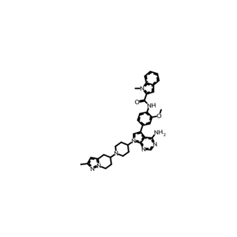 COc1cc(-c2cn(C3CCN(C4CCn5nc(C)cc5C4)CC3)c3ncnc(N)c23)ccc1NC(=O)c1cc2ccccc2n1C